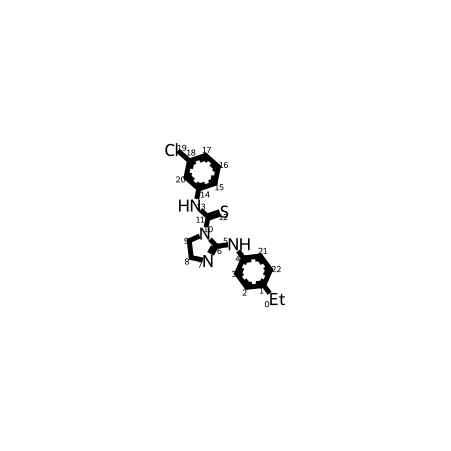 CCc1ccc(NC2=NCCN2C(=S)Nc2cccc(Cl)c2)cc1